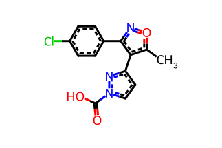 Cc1onc(-c2ccc(Cl)cc2)c1-c1ccn(C(=O)O)n1